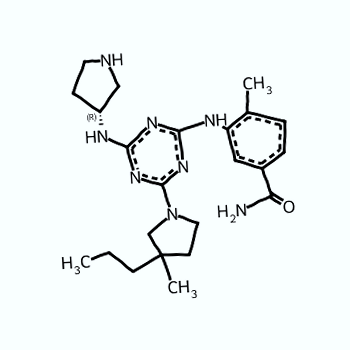 CCCC1(C)CCN(c2nc(Nc3cc(C(N)=O)ccc3C)nc(N[C@@H]3CCNC3)n2)C1